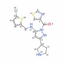 O=C(c1cscn1)n1nc(C2CCNC2)cc1NCc1ccc(Cl)s1